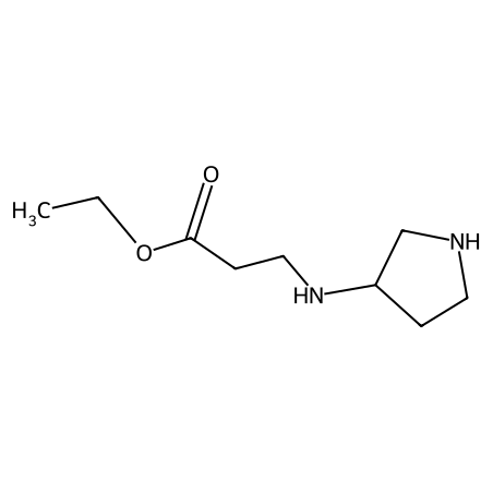 CCOC(=O)CCNC1CCNC1